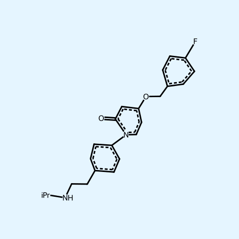 CC(C)NCCc1ccc(-n2ccc(OCc3ccc(F)cc3)cc2=O)cc1